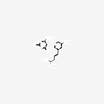 CN[C@@H](C)C/C=C/c1cncc(OC)c1.O=C(O)c1cc(=O)[nH]c(=O)[nH]1